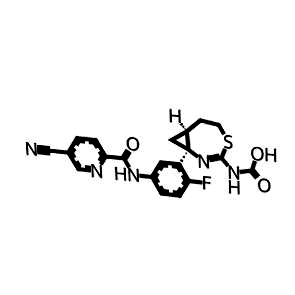 N#Cc1ccc(C(=O)Nc2ccc(F)c([C@]34C[C@H]3CCSC(NC(=O)O)=N4)c2)nc1